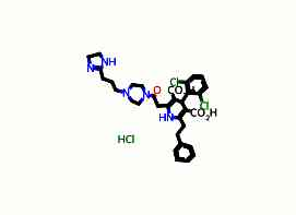 Cl.O=C(O)C1=C(CCc2ccccc2)NC(CC(=O)N2CCN(CCCC3=NCCN3)CC2)=C(C(=O)O)C1c1c(Cl)cccc1Cl